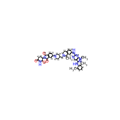 Cc1cccc(C)c1Nc1nn(C)c2nc(Nc3ccc4c(c3)C(C)N(CC3CCN(c5ccc6c(c5)C(=O)N(C5CCC(=O)NC5=O)C6=O)CC3)CC4)ncc12